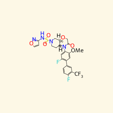 COc1cc(-c2ccc(F)c(C(F)(F)F)c2)c(F)cc1N1C(=O)CO[C@@H]2CN(S(=O)(=O)Nc3ccon3)CC[C@H]21